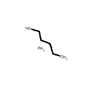 CCCCCO.P